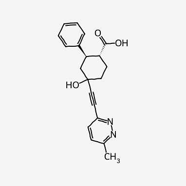 Cc1ccc(C#CC2(O)CC[C@@H](C(=O)O)[C@H](c3ccccc3)C2)nn1